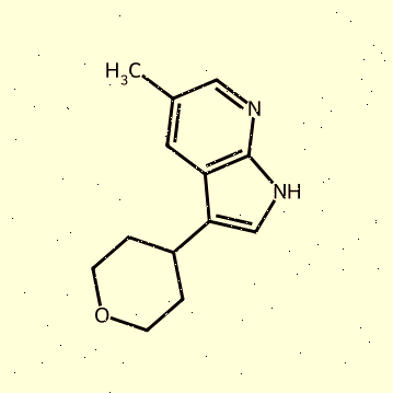 Cc1cnc2[nH]cc(C3CCOCC3)c2c1